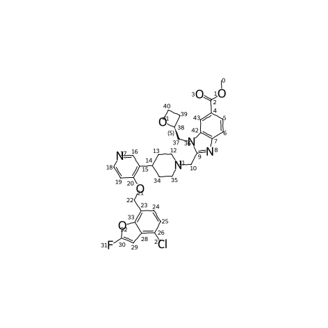 COC(=O)c1ccc2nc(CN3CCC(c4cnccc4OCc4ccc(Cl)c5cc(F)oc45)CC3)n(C[C@@H]3CCO3)c2c1